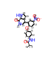 CC(C)C(=O)Nc1ccc(Oc2ccc([N+](=O)[O-])cc2-c2cn(C)c(=O)c3[nH]ccc23)cc1